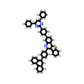 c1ccc(-c2cc(-c3ccccc3)nc(-c3ccc(-c4ccc5c(c4)nc(-c4ccc(-c6cc7ccccc7c7ccccc67)cc4)c4c6ccccc6sc54)cc3)n2)cc1